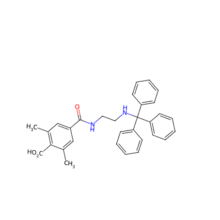 Cc1cc(C(=O)NCCNC(c2ccccc2)(c2ccccc2)c2ccccc2)cc(C)c1C(=O)O